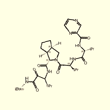 CCCC(NC(=O)[C@@H]1[C@H]2CCC[C@H]2CN1C(=O)[C@@H](NC(=O)[C@H](NC(=O)c1cnccn1)C(C)C)C(C)C)C(=O)C(=O)N[C@@H](C)CC